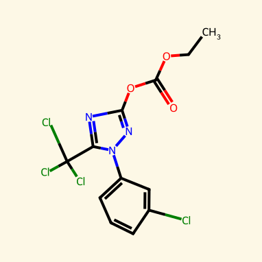 CCOC(=O)Oc1nc(C(Cl)(Cl)Cl)n(-c2cccc(Cl)c2)n1